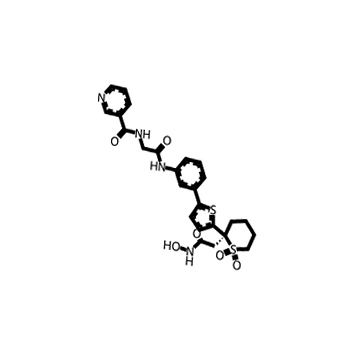 O=C(C[C@]1(c2ccc(-c3cccc(NC(=O)CNC(=O)c4cccnc4)c3)s2)CCCCS1(=O)=O)NO